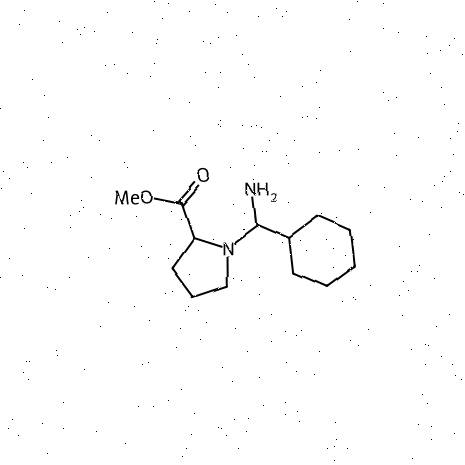 COC(=O)C1CCCN1C(N)C1CCCCC1